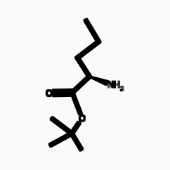 CCC[C@@H](N)C(=O)OC(C)(C)C